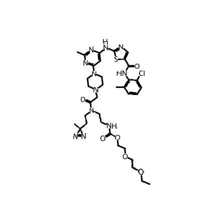 CCOCCOCCOC(=O)NCCN(CCC1(C)N=N1)C(=O)CN1CCN(c2cc(Nc3ncc(C(=O)Nc4c(C)cccc4Cl)s3)nc(C)n2)CC1